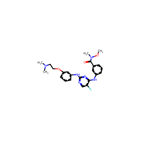 CON(C)C(=O)c1cccc(Nc2nc(Nc3cccc(OCCN(C)C)c3)ncc2F)c1